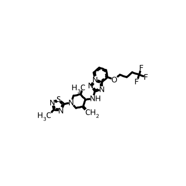 C=C1CN(c2nc(C)ns2)CC(C)C1Nc1nc2c(OCCCC(F)(F)F)cccn2n1